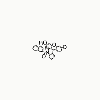 O=C(Nc1ccccc1-c1c2ccc(=O)cc-2oc2cc(O)ccc12)c1ccc2ccccc2c1